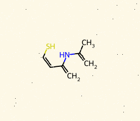 C=C(C)NC(=C)/C=C\S